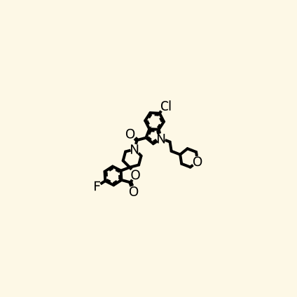 O=C1OC2(CCN(C(=O)c3cn(CCC4CCOCC4)c4cc(Cl)ccc34)CC2)c2ccc(F)cc21